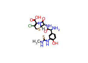 CNC(=S)Nc1cc(C(N)C(=O)N[C@@H]2C(=O)N3C(C(=O)O)=C(Cl)CS[C@H]23)ccc1O